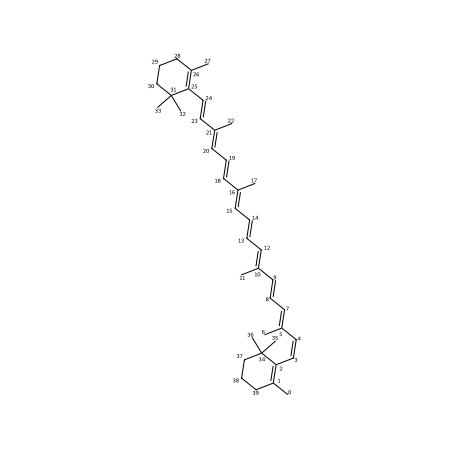 CC1=C(\C=C/C(C)=C/C=C/C(C)=C/C=C/C=C(C)/C=C/C=C(C)/C=C/C2=C(C)CCCC2(C)C)C(C)(C)CCC1